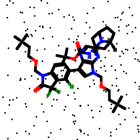 CC(C)(C)OC(=O)N[C@@H]1CC2CC[C@H](C1)N2c1cnc2c(-c3ccc4c(c3Cl)C(F)(F)C(=O)N4COCC[Si](C)(C)C)cn(COCC[Si](C)(C)C)c2n1